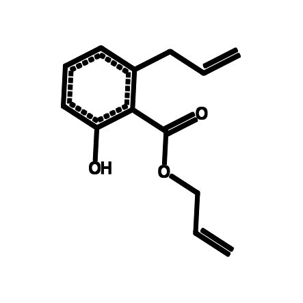 C=CCOC(=O)c1c(O)cccc1CC=C